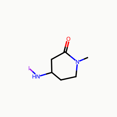 CN1CCC(NI)CC1=O